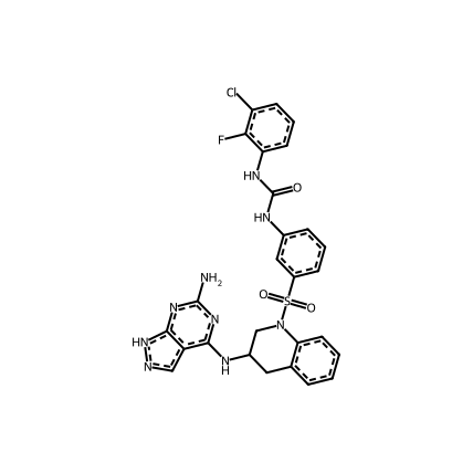 Nc1nc(NC2Cc3ccccc3N(S(=O)(=O)c3cccc(NC(=O)Nc4cccc(Cl)c4F)c3)C2)c2cn[nH]c2n1